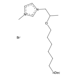 CCCCCCCCCCCCCCCCOC(C)Cn1cc[n+](C)c1.[Br-]